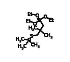 CCO[Si](CC(C)(C)CS[Si](C)(C)C)(OCC)OCC